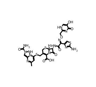 CC1=NC2=CN(C(N)=O)NN2C(SCC2=C(C(=O)O)N3C(=O)[C@@H](NC(=O)C(=NOCc4nc(=O)c(O)c[nH]4)c4csc(N)n4)[C@H]3SC2)=C1